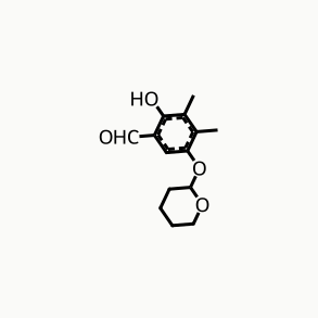 Cc1c(OC2CCCCO2)cc(C=O)c(O)c1C